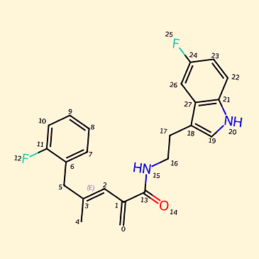 C=C(/C=C(\C)Cc1ccccc1F)C(=O)NCCc1c[nH]c2ccc(F)cc12